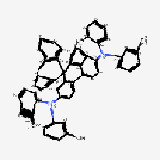 N#Cc1cccc(N(c2ccc3c(c2)C2(c4ccccc4-c4ccccc42)c2cccc4c(N(c5cccc(C#N)c5)c5ccccc5C#N)ccc-3c24)c2ccccc2C#N)c1